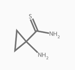 NC(=S)C1(N)CC1